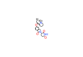 CCN1CCCC[C@H]1[C@H](C)Oc1ccc2c(c1)CN(C1CCC(=O)NC1=O)C2=O